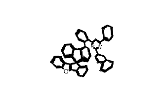 c1ccc(-c2cc(-c3ccccc3-c3cccc4c3-c3ccccc3C43c4ccccc4-c4oc5ccccc5c43)nc(-c3ccc4ccccc4c3)n2)cc1